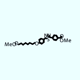 COOCCCCCCCCOc1ccc(-c2nnc(-c3ccc(C(=O)OC)cc3)s2)cc1